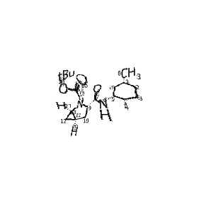 C[C@@H]1CCC[C@H](NC(=O)[C@@H]2C[C@H]3C[C@H]3N2C(=O)OC(C)(C)C)C1